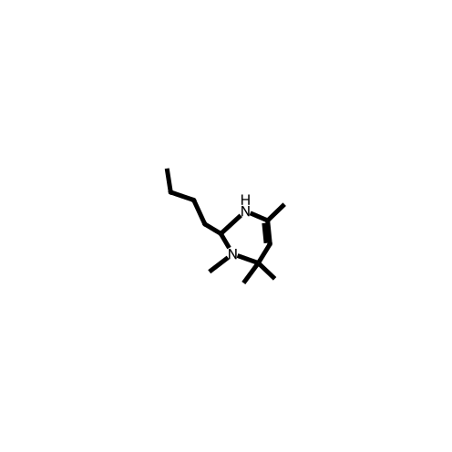 CCCCC1NC(C)=CC(C)(C)N1C